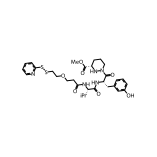 COC(=O)[C@@H]1CCCN(C(=O)[C@H](Cc2cccc(O)c2)NC(=O)[C@@H](NC(=O)CCOCCSSc2ccccn2)C(C)C)N1